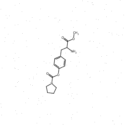 COC(=O)C(N)Cc1ccc(OC(=O)N2CCCC2)cc1